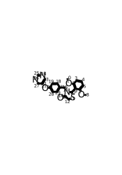 COc1cccc(OC)c1C1SCC(=O)N1Cc1ccc(Oc2cncnc2)cc1